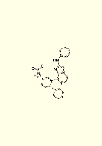 N[SH](=O)=O.c1ccc(Nc2nc3c(-c4ccccc4-c4ccccc4)nccn3n2)cc1